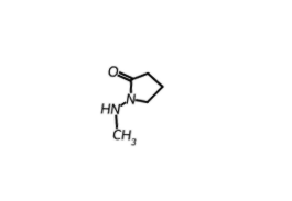 CNN1CCCC1=O